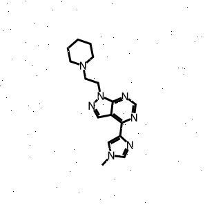 Cn1cnc(-c2ncnc3c2cnn3CCN2CCCCC2)c1